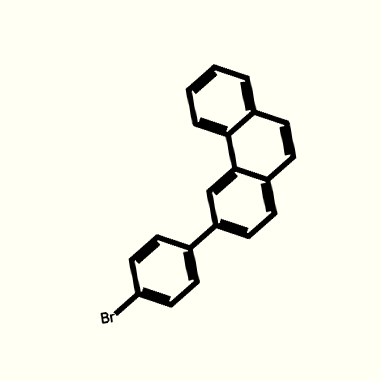 Brc1ccc(-c2ccc3ccc4ccccc4c3c2)cc1